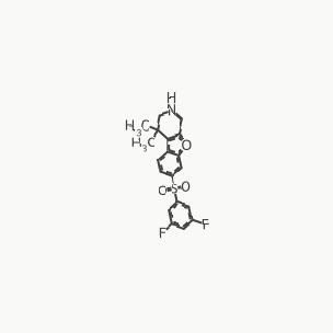 CC1(C)CNCc2oc3cc(S(=O)(=O)c4cc(F)cc(F)c4)ccc3c21